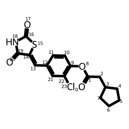 O=C(CC1CCCC1)Oc1ccc(/C=C2\SC(=O)NC2=O)cc1Cl